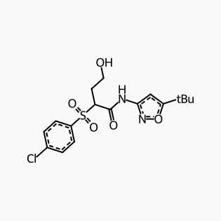 CC(C)(C)c1cc(NC(=O)C(CCO)S(=O)(=O)c2ccc(Cl)cc2)no1